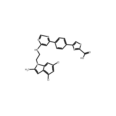 Cc1cc2c(Cl)cc(Cl)cc2n1CCNc1cc(-c2ccc(-c3csc(C(=O)O)n3)cc2)ncn1